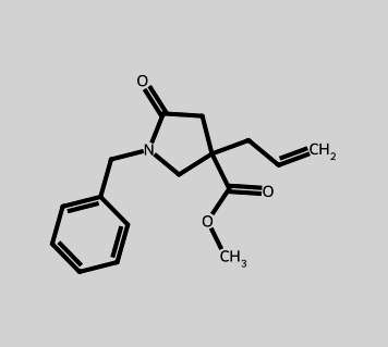 C=CCC1(C(=O)OC)CC(=O)N(Cc2ccccc2)C1